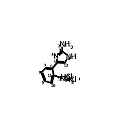 Cl.Cl.Nc1nc(-c2ccccc2[N+](=O)[O-])c[nH]1